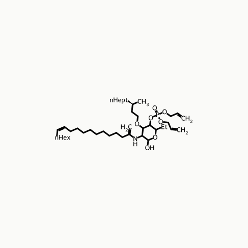 C=CCOP(=O)(OCC=C)OC1C(CC)OC(O)C(NC(=C)CCCCCCCCC/C=C\CCCCCC)C1OCC[C@H](C)CCCCCCC